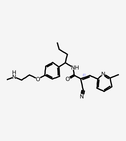 CCCC(NC(=O)/C(C#N)=C/c1cccc(C)n1)c1ccc(OCCNC)cc1